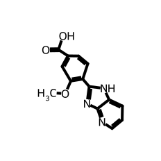 COc1cc(C(=O)O)ccc1-c1nc2ncccc2[nH]1